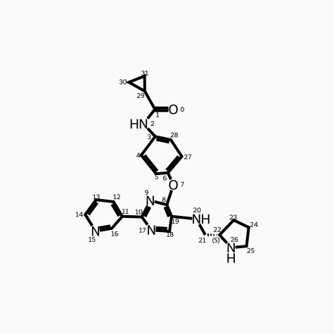 O=C(Nc1ccc(Oc2nc(-c3cccnc3)ncc2NC[C@@H]2CCCN2)cc1)C1CC1